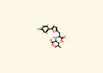 CC(C)CC(NC(Cc1ccc(-c2ccc(Cl)cc2)o1)C(=O)O)C(=O)O